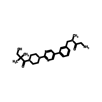 CN(Cc1cccc(-c2cnc(N3CCN(C(=O)C(C)(C)CO)CC3)nc2)c1)C(=O)CN